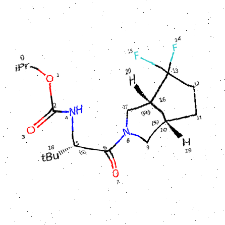 CC(C)OC(=O)N[C@H](C(=O)N1C[C@H]2CCC(F)(F)[C@H]2C1)C(C)(C)C